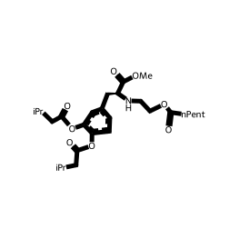 CCCCCC(=O)OCCN[C@@H](Cc1ccc(OC(=O)CC(C)C)c(OC(=O)CC(C)C)c1)C(=O)OC